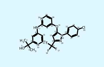 CC(C)(O)c1cc(Nc2cc(Oc3cc(C(F)(F)F)nn3C3=CCC(Cl)C=C3)ccn2)ccn1